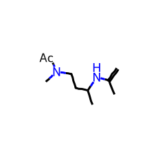 C=C(C)NC(C)CCN(C)C(C)=O